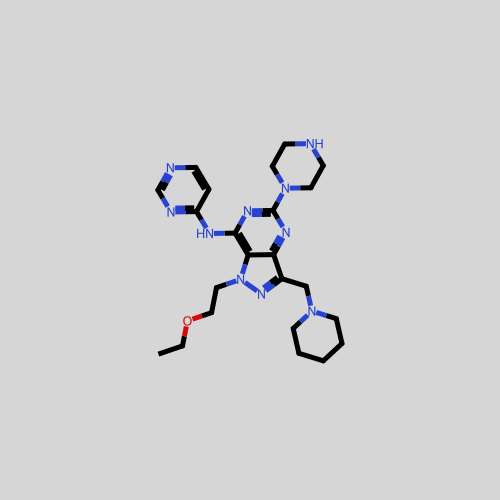 CCOCCn1nc(CN2CCCCC2)c2nc(N3CCNCC3)nc(Nc3ccncn3)c21